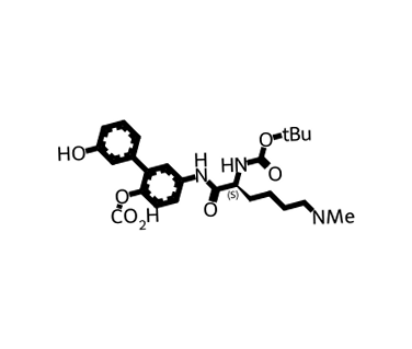 CNCCCC[C@H](NC(=O)OC(C)(C)C)C(=O)Nc1ccc(OC(=O)O)c(-c2cccc(O)c2)c1